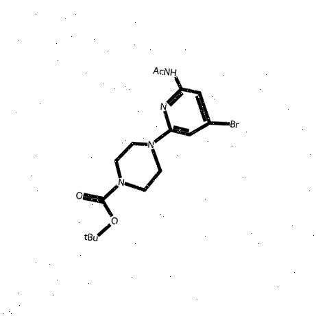 CC(=O)Nc1cc(Br)cc(N2CCN(C(=O)OC(C)(C)C)CC2)n1